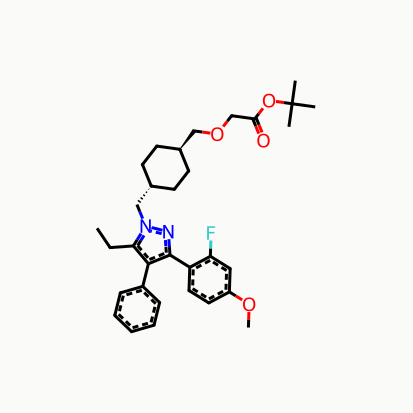 CCc1c(-c2ccccc2)c(-c2ccc(OC)cc2F)nn1C[C@H]1CC[C@H](COCC(=O)OC(C)(C)C)CC1